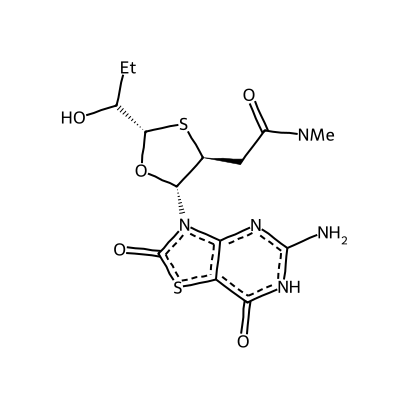 CCC(O)[C@H]1O[C@@H](n2c(=O)sc3c(=O)[nH]c(N)nc32)[C@H](CC(=O)NC)S1